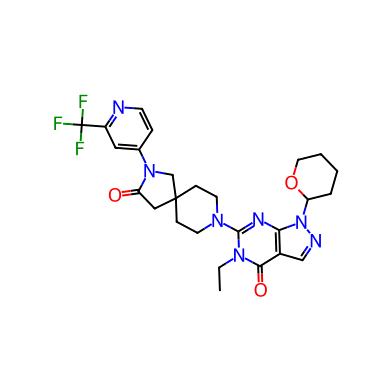 CCn1c(N2CCC3(CC2)CC(=O)N(c2ccnc(C(F)(F)F)c2)C3)nc2c(cnn2C2CCCCO2)c1=O